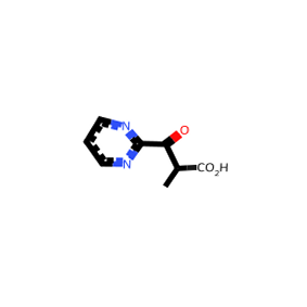 CC(C(=O)O)C(=O)c1ncccn1